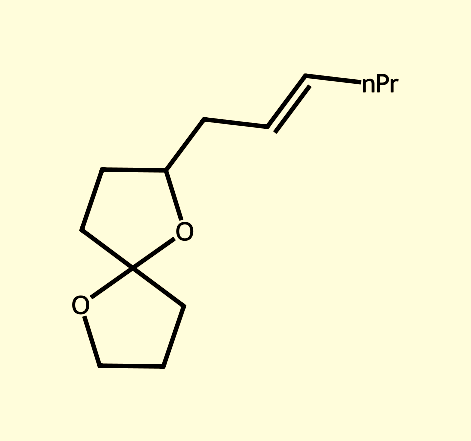 CCCC=CCC1CCC2(CCCO2)O1